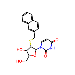 O=c1ccn(C2OC(CO)C(O)C2SCc2ccc3ccccc3c2)c(=O)[nH]1